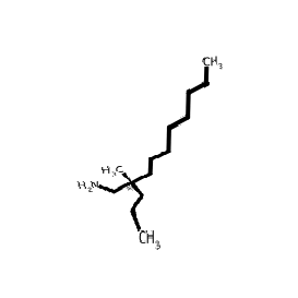 CCCCCCCC[C@@](C)(CN)CCC